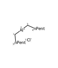 CCCCC[CH2][Al+][CH2]CCCCC.[Cl-]